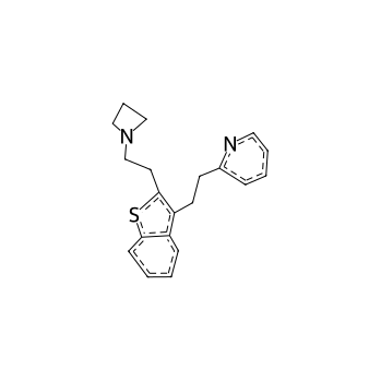 c1ccc(CCc2c(CCN3CCC3)sc3ccccc23)nc1